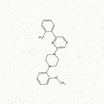 COc1ccccc1N1CCN(c2cncc(-c3ccccc3C)n2)CC1